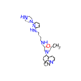 CC1CN(c2ccc(C#N)c3ncccc23)CC(CNCCCCNc2cccc(N3CCNCC3)n2)O1